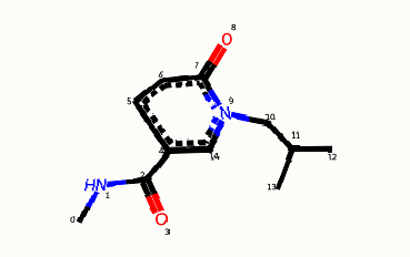 CNC(=O)c1ccc(=O)n(CC(C)C)c1